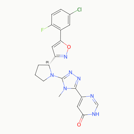 Cn1c(-c2cc(=O)[nH]cn2)nnc1N1CCC[C@@H]1c1cc(-c2cc(Cl)ccc2F)on1